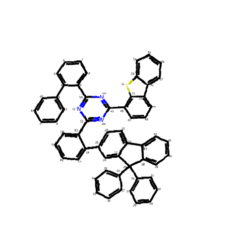 c1ccc(-c2ccccc2-c2nc(-c3ccccc3-c3ccc4c(c3)C(c3ccccc3)(c3ccccc3)c3ccccc3-4)nc(-c3cccc4c3sc3ccccc34)n2)cc1